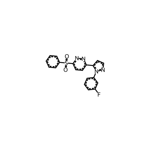 O=S(=O)(c1ccccc1)c1ccc(-c2ccnn2-c2cccc(F)c2)nn1